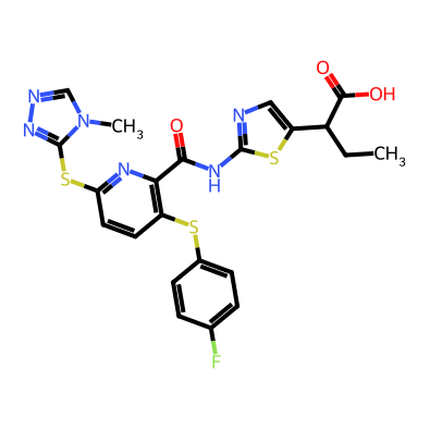 CCC(C(=O)O)c1cnc(NC(=O)c2nc(Sc3nncn3C)ccc2Sc2ccc(F)cc2)s1